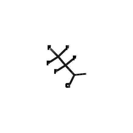 CC(Cl)C(F)(F)C(F)(F)F